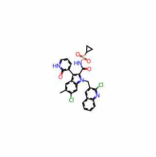 Cc1cc2c(-c3ccc[nH]c3=O)c(C(=O)NS(=O)(=O)C3CC3)n(Cc3cc4ccccc4nc3Cl)c2cc1Cl